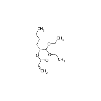 C=CC(=O)OC(CCCC)[C](OCC)OCC